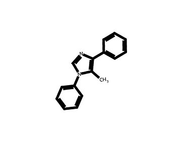 Cc1c(-c2ccccc2)n[c]n1-c1ccccc1